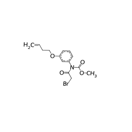 C=CCCOc1cccc(N(C(=O)CBr)C(=O)OC)c1